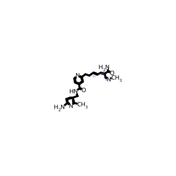 C\N=C/C(=C\C=C\CCc1cc(C(=O)NCc2ccc(N)nc2C)ccn1)C(N)=O